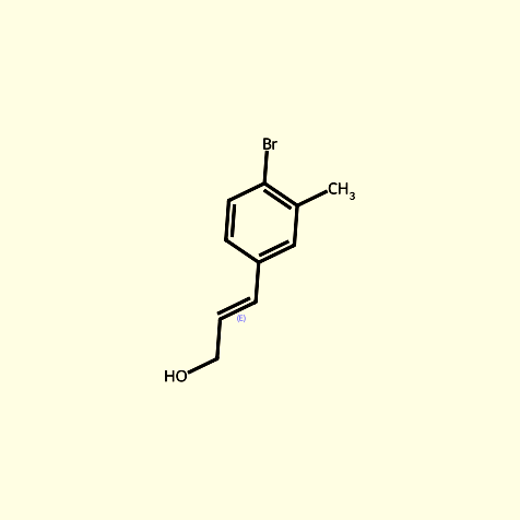 Cc1cc(/C=C/CO)ccc1Br